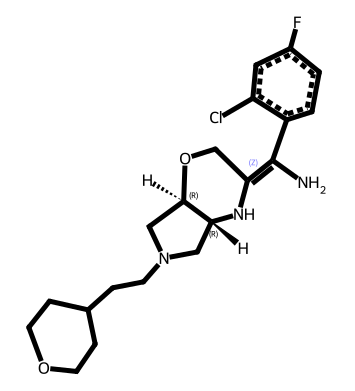 N/C(=C1/CO[C@@H]2CN(CCC3CCOCC3)C[C@H]2N1)c1ccc(F)cc1Cl